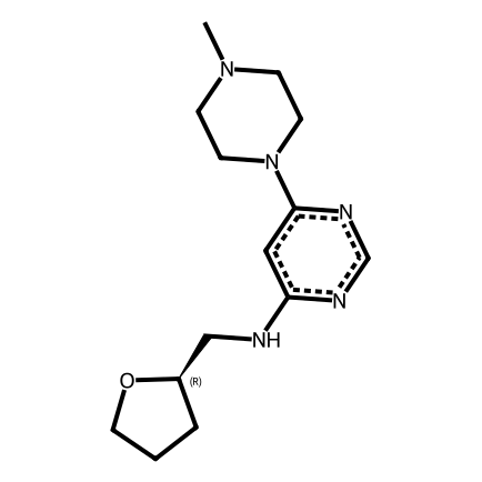 CN1CCN(c2cc(NC[C@H]3CCCO3)ncn2)CC1